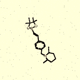 CC1CCCC(C)N1Cc1ccc(/C=C/B2OC(C)(C)C(C)(C)O2)cc1